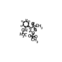 CCO.CS(=O)(=O)OCC(c1ccccc1)S(C)(=O)=O